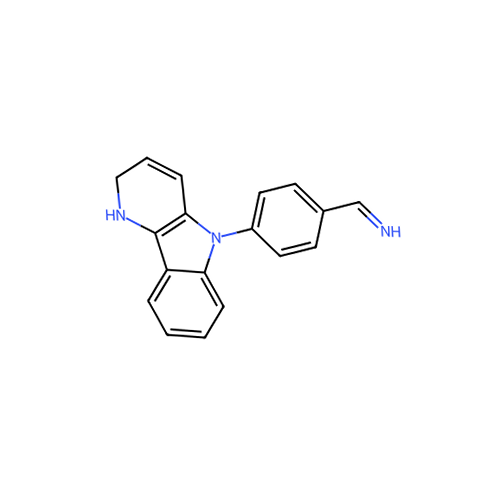 N=Cc1ccc(-n2c3c(c4ccccc42)NCC=C3)cc1